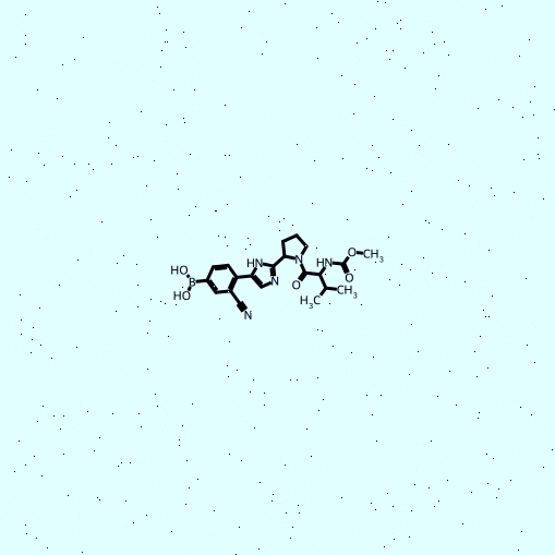 COC(=O)NC(C(=O)N1CCCC1c1ncc(-c2ccc(B(O)O)cc2C#N)[nH]1)C(C)C